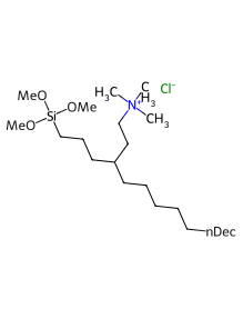 CCCCCCCCCCCCCCCC(CCC[Si](OC)(OC)OC)CC[N+](C)(C)C.[Cl-]